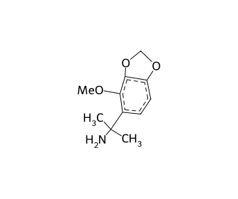 COc1c(C(C)(C)N)ccc2c1OCO2